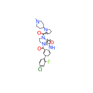 CN1CCC(N2CCC[C@H]2C(=O)N2CCN3C(=O)C4=CC(c5ccc(Cl)cc5F)CC=C4NC(=O)[C@H]3C2)CC1